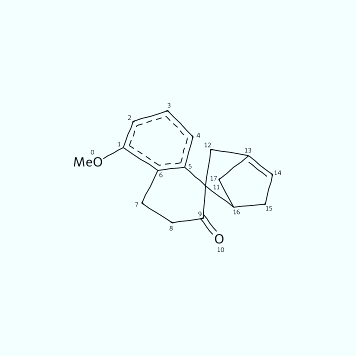 COc1cccc2c1CCC(=O)C21CC2=CCC1C2